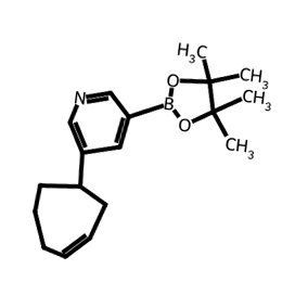 CC1(C)OB(c2cncc(C3CC=CCCC3)c2)OC1(C)C